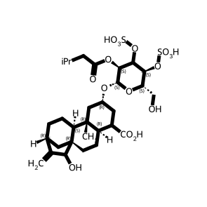 C=C1C(O)[C@@]23CC[C@@H]4C(C(=O)O)C[C@@H](O[C@H]5O[C@@H](CO)[C@H](OS(=O)(=O)O)C(OS(=O)(=O)O)[C@@H]5OC(=O)CC(C)C)C[C@@]4(C)[C@@H]2CC[C@@H]1C3